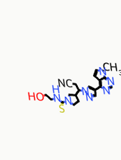 Cn1ccc2c(-c3cnn(C(CC#N)C4CCN(C(=S)NCCO)C4)c3)ncnc21